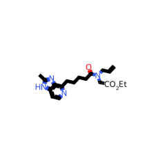 C=CCN(CC(=O)OCC)C(=O)CCCCc1nccc2[nH]c(C)nc12